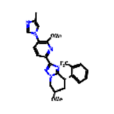 COc1nc(-c2nc3n(n2)C[C@H](OC)C[C@H]3c2ccccc2C(F)(F)F)ccc1-n1cnc(C)c1